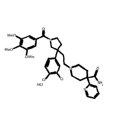 COc1cc(C(=O)N2CCC(CCN3CCC(C(N)=O)(c4ccccn4)CC3)(c3ccc(Cl)c(Cl)c3)C2)cc(OC)c1OC.Cl